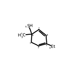 CCC1=CCC(C)(S)C=C1